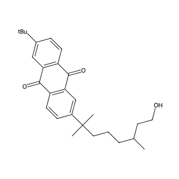 CC(CCO)CCCC(C)(C)c1ccc2c(c1)C(=O)c1ccc(C(C)(C)C)cc1C2=O